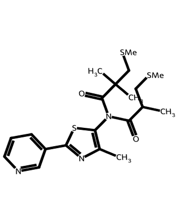 CSCC(C)C(=O)N(C(=O)C(C)(C)CSC)c1sc(-c2cccnc2)nc1C